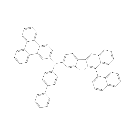 c1ccc(-c2ccc(N(c3ccc4c(c3)oc3c(-c5cccc6ccccc56)c5ccccc5cc34)c3ccc4c5ccccc5c5ccccc5c4c3)cc2)cc1